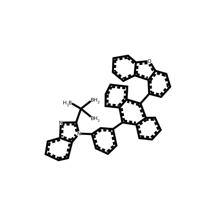 BC(B)(B)c1nc2ccccc2n1-c1cccc(-c2c3ccccc3c(-c3cccc4oc5ccccc5c34)c3ccccc23)c1